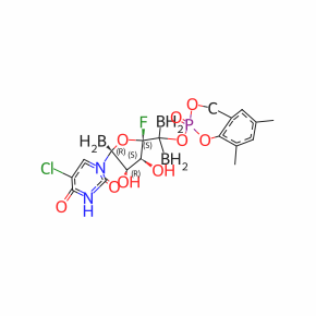 BC(B)(OP1(=O)OCc2cc(C)cc(C)c2O1)[C@@]1(F)O[C@@](B)(n2cc(Cl)c(=O)[nH]c2=O)[C@H](O)[C@@H]1O